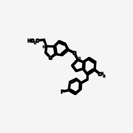 O=C(O)C[C@@H]1COc2cc(O[C@@H]3CCc4c3ccc(C(F)(F)F)c4Cc3ccc(F)cc3)ccc21